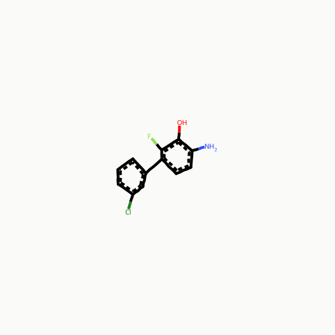 Nc1ccc(-c2cccc(Cl)c2)c(F)c1O